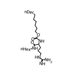 CCCCCCCCCCCCCCCCOC(=O)NC(CCCNC(=N)N)C(=O)NCCCCCC